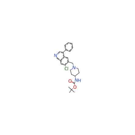 CC(C)(C)OC(=O)NC1CCN(Cc2cc3c(-c4ccccc4)cncc3cc2Cl)CC1